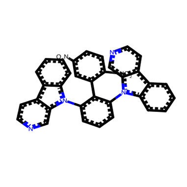 O=[N+]([O-])c1ccc([N+](=O)[O-])c(-c2c(-n3c4ccccc4c4ccncc43)cccc2-n2c3ccccc3c3ccncc32)c1